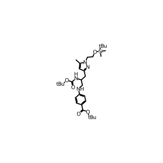 Cc1cc(CC(CNc2ccc(C(=O)OC(C)(C)C)cc2)NC(=O)OC(C)(C)C)nn1CCO[Si](C)(C)C(C)(C)C